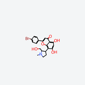 CN1CCC(c2c(O)cc(O)c3c(=O)cc(-c4ccc(Br)cc4)oc23)C1CO